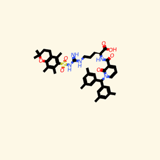 Cc1cc(C)cc(C(c2cc(C)cc(C)c2)n2cccc(C(=O)N[C@@H](CCCNC(=N)NS(=O)(=O)c3c(C)c(C)c4c(c3C)CCC(C)(C)O4)C(=O)O)c2=O)c1